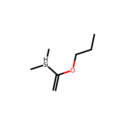 C=C(OCCC)[SiH](C)C